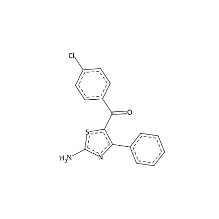 Nc1nc(-c2ccccc2)c(C(=O)c2ccc(Cl)cc2)s1